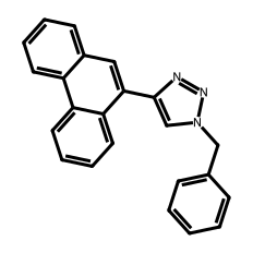 c1ccc(Cn2cc(-c3cc4ccccc4c4ccccc34)nn2)cc1